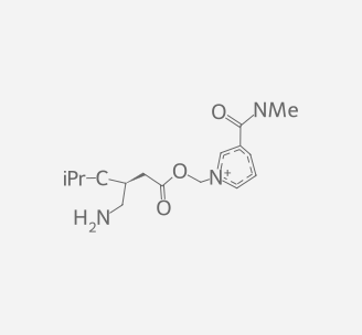 CNC(=O)c1ccc[n+](COC(=O)C[C@@H](CN)CC(C)C)c1